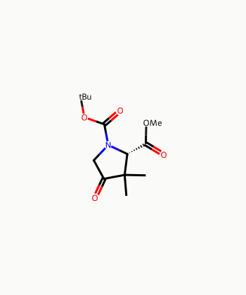 COC(=O)[C@H]1N(C(=O)OC(C)(C)C)CC(=O)C1(C)C